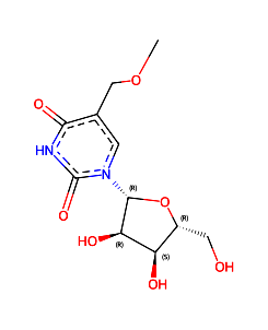 COCc1cn([C@@H]2O[C@H](CO)[C@@H](O)[C@H]2O)c(=O)[nH]c1=O